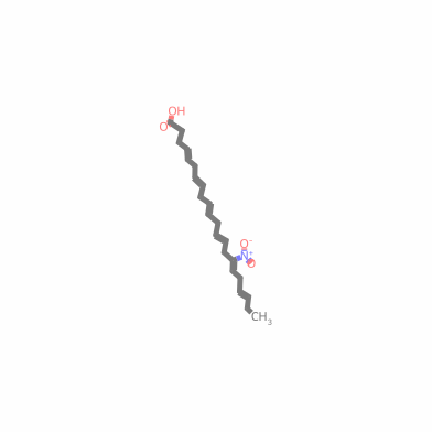 CCC=CCC=C(CC=CCC=CCC=CCC=CCCC(=O)O)[N+](=O)[O-]